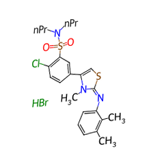 Br.CCCN(CCC)S(=O)(=O)c1cc(-c2cs/c(=N/c3cccc(C)c3C)n2C)ccc1Cl